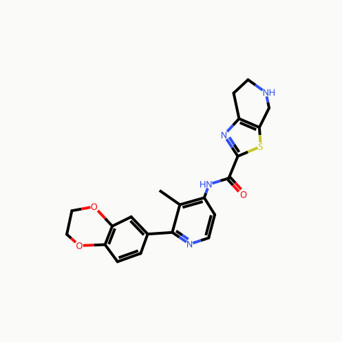 Cc1c(NC(=O)c2nc3c(s2)CNCC3)ccnc1-c1ccc2c(c1)OCCO2